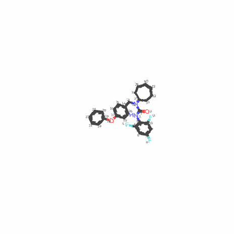 O=C(Nc1c(F)cc(F)cc1F)N(Cc1ccc(Oc2ccccc2)cc1)C1CCCCCC1